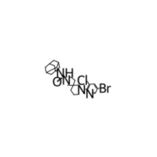 O=C(NC12CC3CC(CC(C3)C1)C2)N1CCC2(CCCN(c3ncc(Br)cc3Cl)C2)C1